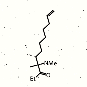 C=CCCCCC[C@@H](C)[C@](C)(NC)C(=O)CC